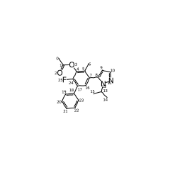 CC(=O)Oc1c(C)c(-c2ccnn2C(C)C)cc(-c2ccccc2)c1F